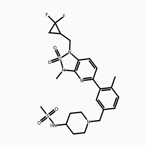 Cc1ccc(CN2CCC(NS(C)(=O)=O)CC2)cc1-c1ccc2c(n1)N(C)S(=O)(=O)N2CC1CC1(F)F